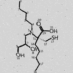 CCCCCN(CC(O)CO)[C@](CS)(CCCCC)C(=O)O